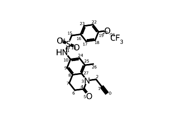 C#CCN1C(=O)CCc2cc(NS(=O)(=O)Cc3ccc(OC(F)(F)F)cc3)cc(C)c21